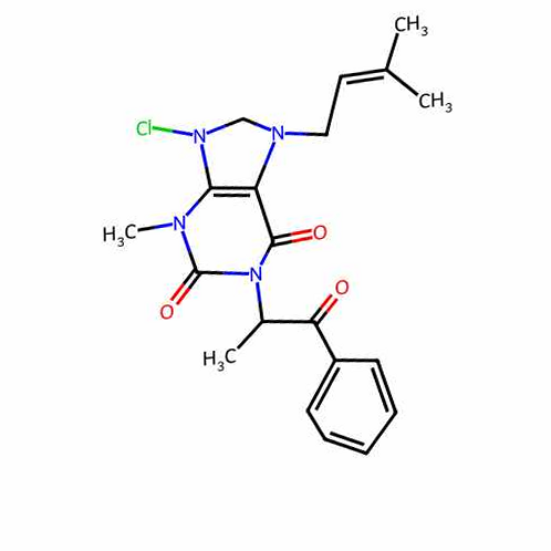 CC(C)=CCN1CN(Cl)c2c1c(=O)n(C(C)C(=O)c1ccccc1)c(=O)n2C